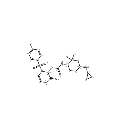 Cc1ccc(S(=O)(=O)N2C=CNC(=O)[C@H]2CC(=O)N[C@H]2CC[C@H](NC3CC3)CC2(C)C)cc1